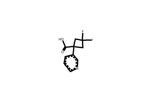 O=C(O)C1(c2cccnc2)CC(F)(F)C1